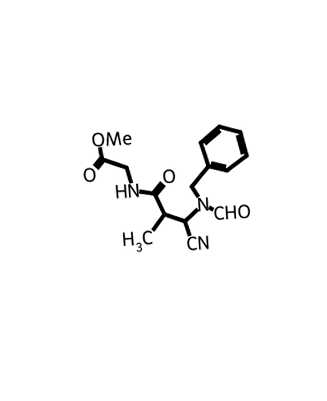 COC(=O)CNC(=O)C(C)C(C#N)N(C=O)Cc1ccccc1